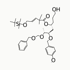 COc1ccc(CO[C@H](C[C@@H](CCCO)OC(=O)C(C)(C)C=CCO[Si](C)(C)C(C)(C)C)[C@@H](C)OCOCc2ccccc2)cc1